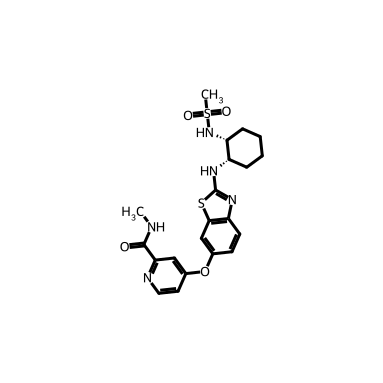 CNC(=O)c1cc(Oc2ccc3nc(N[C@H]4CCCC[C@H]4NS(C)(=O)=O)sc3c2)ccn1